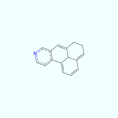 C1=CC2=CCCC3=Cc4cnccc4C(=C1)C23